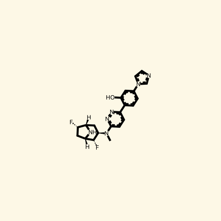 CN(c1ccc(-c2ccc(-n3ccnc3)cc2O)nn1)[C@@H]1C[C@@H]2N[C@@H](C[C@@H]2F)[C@H]1F